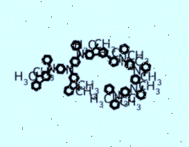 Cc1cccc(C)c1N(c1ccccc1)c1ccc(N(c2ccc(N(c3ccc(N(c4cccc(-c5ccc6c(c5)-c5ccc(N(c7ccccc7)c7ccc(N(c8ccc(N(c9ccccc9)c9ccc%10c(c9)C(C)(C)c9ccccc9-%10)cc8)c8ccc9c(c8)-c8ccccc8C9(C)C)cc7)cc5C6(C)C)c4)c4c(C)cccc4C)cc3)c3c(C)cccc3C)cc2)c2c(C)cccc2C)cc1